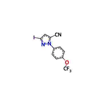 N#Cc1cc(I)nn1-c1ccc(OC(F)(F)F)cc1